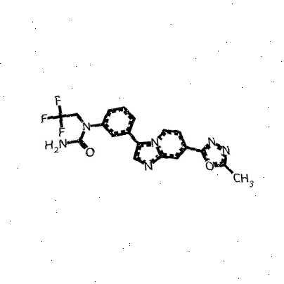 Cc1nnc(-c2ccn3c(-c4cccc(N(CC(F)(F)F)C(N)=O)c4)cnc3c2)o1